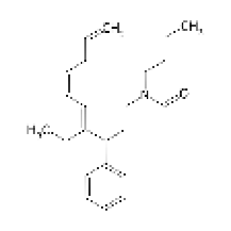 C=CC/C=C\C=C(/CC)C(CCN(C=O)CCCC)c1ccccc1